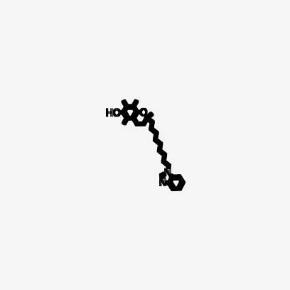 Cc1c(C)c2c(c(C)c1O)CCC(C)(CCCCCCCCCn1cnc3ccccc31)O2